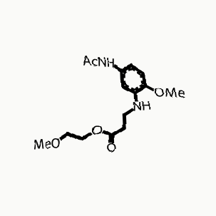 COCCOC(=O)CCNc1cc(NC(C)=O)ccc1OC